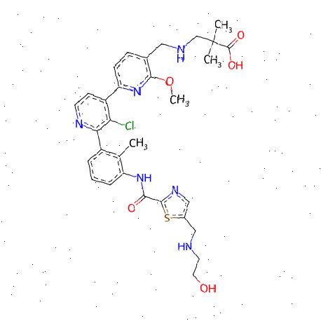 COc1nc(-c2ccnc(-c3cccc(NC(=O)c4ncc(CNCCO)s4)c3C)c2Cl)ccc1CNCC(C)(C)C(=O)O